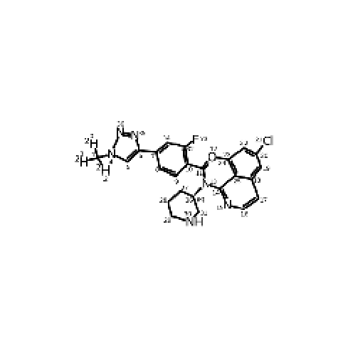 [2H]C([2H])([2H])n1cc(-c2ccc(C(=O)N(c3nccc4cc(Cl)cc(C)c34)[C@@H]3CCCNC3)c(F)c2)nn1